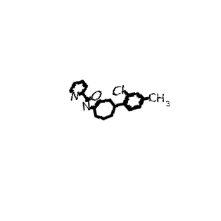 Cc1ccc(C2CCCc3nc(-c4ccccn4)oc3C2)c(Cl)c1